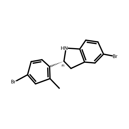 Cc1cc(Br)ccc1[C@H]1Cc2cc(Br)ccc2N1